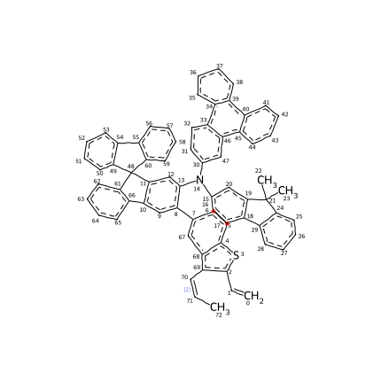 C=Cc1sc2ccc(-c3cc4c(cc3N(c3ccc5c(c3)C(C)(C)c3ccccc3-5)c3ccc5c6ccccc6c6ccccc6c5c3)C3(c5ccccc5-c5ccccc53)c3ccccc3-4)cc2c1/C=C\C